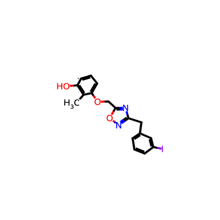 Cc1c(O)[c]ccc1OCc1nc(Cc2cccc(I)c2)no1